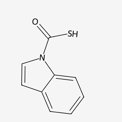 O=C(S)n1ccc2ccccc21